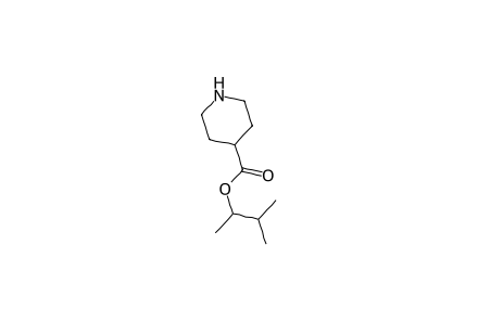 CC(C)C(C)OC(=O)C1CCNCC1